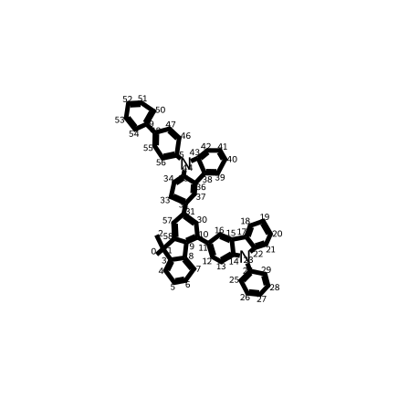 CC1(C)c2ccccc2-c2c(-c3ccc4c(c3)c3ccccc3n4-c3ccccc3)cc(-c3ccc4c(c3)c3ccccc3n4-c3ccc(-c4ccccc4)cc3)cc21